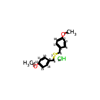 COc1ccc(CSCc2ccc(OC)cc2)cc1.Cl